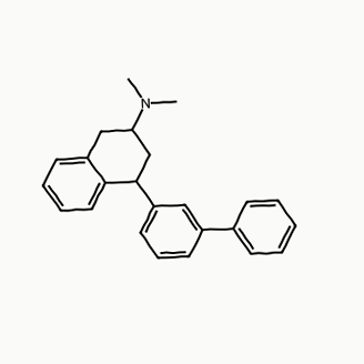 CN(C)C1Cc2ccccc2C(c2cccc(-c3ccccc3)c2)C1